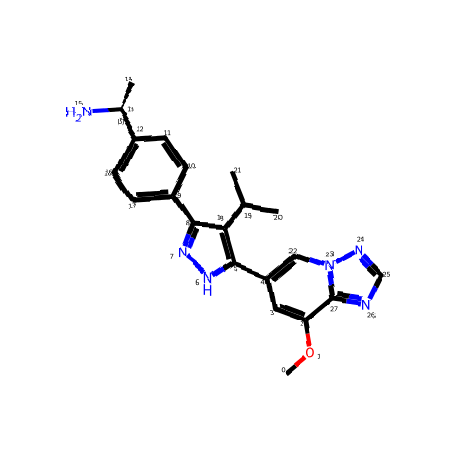 COc1cc(-c2[nH]nc(-c3ccc([C@H](C)N)cc3)c2C(C)C)cn2ncnc12